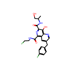 CC(CO)NC(=O)c1nc(C(=O)NCCF)c2cc(Cc3ccc(F)cc3)cnc2c1O